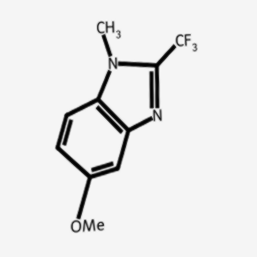 COc1ccc2c(c1)nc(C(F)(F)F)n2C